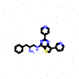 N[C@H](CNc1nc(-c2ccncc2)nc2c(-c3cccnc3)csc12)Cc1ccccc1